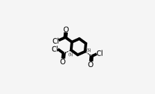 O=C(Cl)C1CC[C@H](C(=O)Cl)C[C@@H]1C(=O)Cl